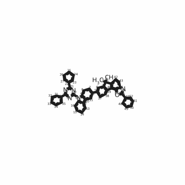 CC1(C)c2cc(-c3ccc4c(c3)c3ccccc3n4-c3nc(-c4ccccc4)nc(-c4ccccc4)n3)ccc2-c2c1ccc1nc(-c3ccccc3)oc21